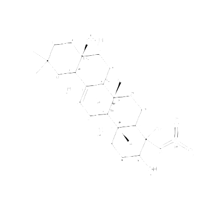 CC1(C)CC[C@]2(C(=O)O)CC[C@]3(C)C(=CC[C@@H]4[C@@]5(C)CCC(O)C(C)(C=S(=O)=O)C5CC[C@]43C)[C@H]2C1